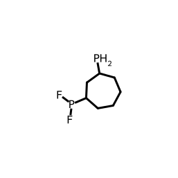 FP(F)C1CCCCC(P)C1